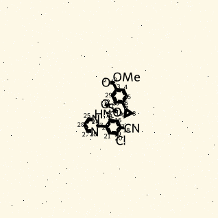 COC(=O)c1ccc(C2CC2)c(S(=O)(=O)Nc2cc(C#N)c(Cl)cc2-c2ncccn2)c1